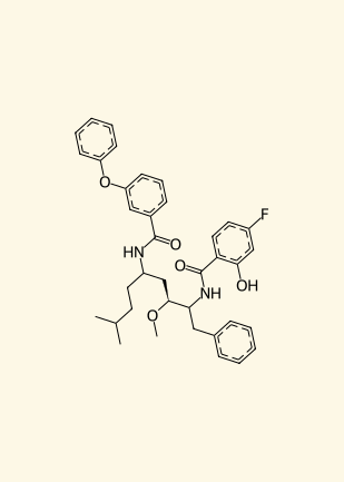 CO[C@@H](CC(CCC(C)C)NC(=O)c1cccc(Oc2ccccc2)c1)C(Cc1ccccc1)NC(=O)c1ccc(F)cc1O